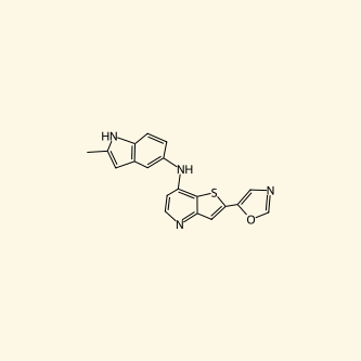 Cc1cc2cc(Nc3ccnc4cc(-c5cnco5)sc34)ccc2[nH]1